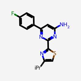 CC(C)c1csc(-c2nc(N)cc(-c3ccc(F)cc3)n2)n1